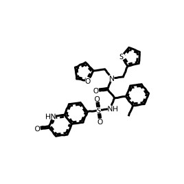 Cc1ccccc1C(NS(=O)(=O)c1ccc2[nH]c(=O)ccc2c1)C(=O)N(Cc1ccco1)Cc1cccs1